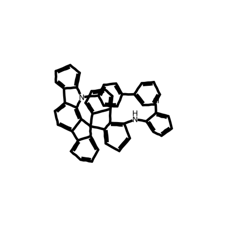 Clc1ccccc1Nc1cccc2c1-c1ccccc1C21c2ccccc2-c2ccc3c4ccccc4n(-c4ccc(-c5ccccc5)cc4)c3c21